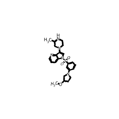 COC1CCN(c2cccc(S(=O)(=O)n3cc(N4CCNC(C)C4)c4ncccc43)c2)C1